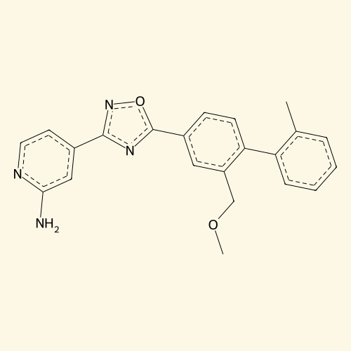 COCc1cc(-c2nc(-c3ccnc(N)c3)no2)ccc1-c1ccccc1C